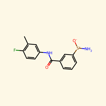 Cc1cc(NC(=O)c2cccc([S+](N)[O-])c2)ccc1F